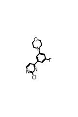 Fc1cc(-c2ccnc(Cl)n2)cc(N2CCOCC2)c1